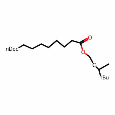 CCCCCCCCCCCCCCCCCC(=O)OCCC(C)CCCC